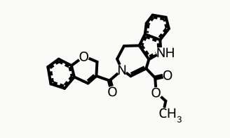 CCOC(=O)C1=CN(C(=O)C2=Cc3ccccc3OC2)CCc2c1[nH]c1ccccc21